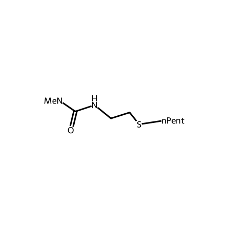 CCCCCSCCNC(=O)NC